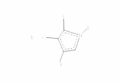 CCOC(=O)c1c(C)cn(I)c1I